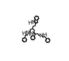 c1ccc(CCNCCc2c(CC(CCNCCc3ccccc3)CCc3cc4ccccc4[nH]3)[nH]c3ccccc23)cc1